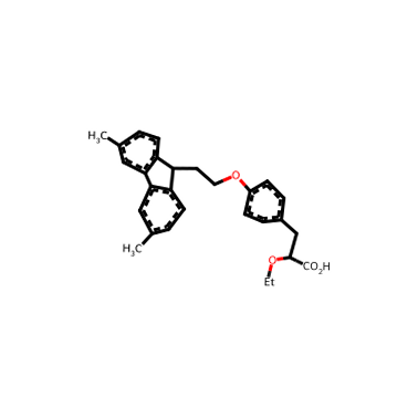 CCOC(Cc1ccc(OCCC2c3ccc(C)cc3-c3cc(C)ccc32)cc1)C(=O)O